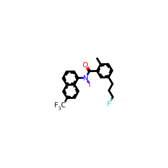 Cc1ccc(CCCF)cc1C(=O)N(I)c1cccc2cc(C(F)(F)F)ccc12